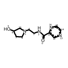 O=C(NCCN1CCC(O)C1)c1cnccn1